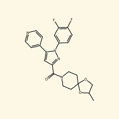 CC1COC2(CCN(C(=O)c3cc(-c4ccncc4)n(-c4ccc(F)c(F)c4)n3)CC2)O1